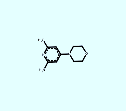 Cc1cc(N2CCOCC2)cc(N)n1